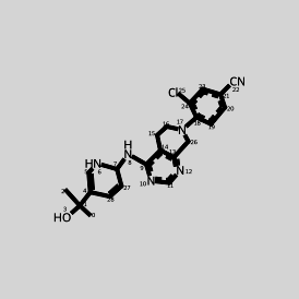 CC(C)(O)C1=CNC(Nc2ncnc3c2CCN(c2ccc(C#N)cc2Cl)C3)C=C1